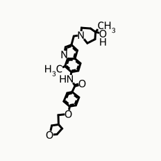 Cc1c(NC(=O)c2ccc(OCC3CCOC3)cc2)ccc2cc(CN3CCC(C)(O)CC3)cnc12